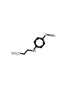 CCOC(=O)CCNc1ccc(SC(C)(C)C)cc1